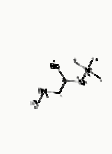 CCCNCC(O)N[N+](C)(C)C